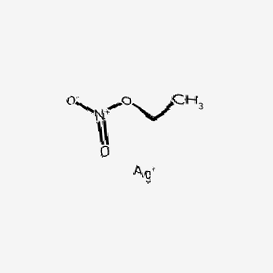 CCO[N+](=O)[O-].[Ag+]